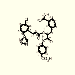 NC(=O)c1cccc(CC(NC(=O)C=Cc2cc(Cl)ccc2-n2cnnn2)C(=O)Nc2ccc(C(=O)O)cc2)c1